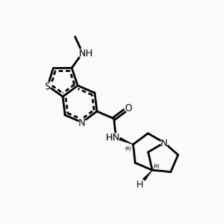 CNc1csc2cnc(C(=O)N[C@@H]3C[C@H]4CCN(C4)C3)cc12